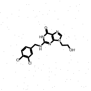 O=c1[nH]c(NCc2ccc(Cl)c(Cl)c2)nc2c1ncn2CCO